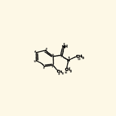 Cc1ccccc1C(=N)N(C)C